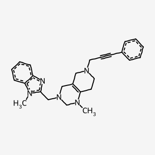 CN1CN(Cc2nc3ccccc3n2C)CC2=C1CCN(CC#Cc1ccccc1)C2